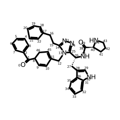 O=C(c1ccccc1)C1C=CC(Cn2c(CCc3ccccc3)nnc2[C@@H](Cc2c[nH]c3ccccc23)NC(=O)[C@@H]2CCCN2)=CC1